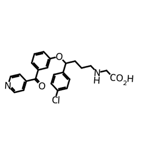 O=C(O)CNCCCC(Oc1cccc(C(=O)c2ccncc2)c1)c1ccc(Cl)cc1